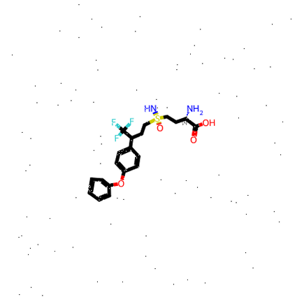 N=S(=O)(CCC(c1ccc(Oc2ccccc2)cc1)C(F)(F)F)CC[C@H](N)C(=O)O